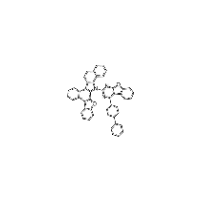 c1ccc(-c2ccc(-c3nc(-n4c5c6ccccc6ccc5c5c6ccccc6c6c7ccccc7oc6c54)nc4oc5ccccc5c34)cc2)cc1